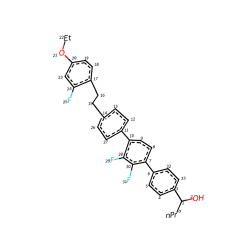 CCCC(O)c1ccc(-c2ccc(-c3ccc(CCc4ccc(OCC)cc4F)cc3)c(F)c2F)cc1